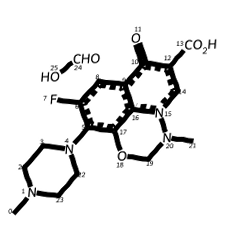 CN1CCN(c2c(F)cc3c(=O)c(C(=O)O)cn4c3c2OCN4C)CC1.O=CO